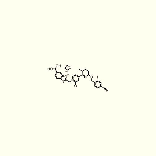 CC1CC=C(OCc2ccc(C#N)cc2F)N=C1c1ccn(Cc2nc3ccc(C(O)O)cc3n2C[C@@H]2CCO2)c(=O)c1